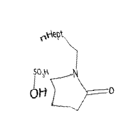 CCCCCCCCN1CCCC1=O.O=S(=O)(O)O